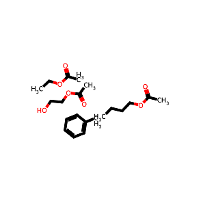 CC(=O)OCCO.CCCCOC(C)=O.CCOC(C)=O.Cc1ccccc1